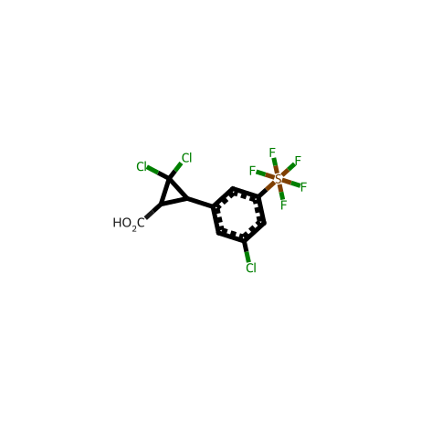 O=C(O)C1C(c2cc(Cl)cc(S(F)(F)(F)(F)F)c2)C1(Cl)Cl